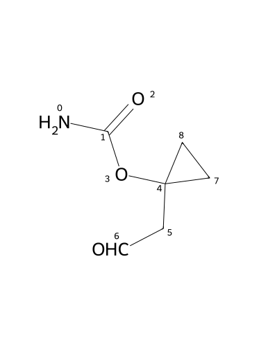 NC(=O)OC1(CC=O)CC1